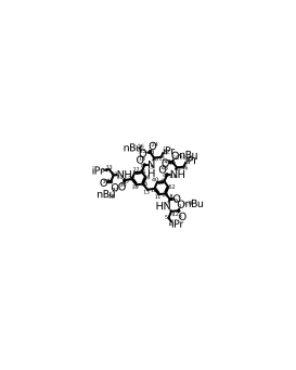 CCCCOC(=O)C(CC(C)C)NC(=O)c1cc(Cc2cc(C(=O)NC(CC(C)C)C(=O)OCCCC)cc(C(=O)NC(CC(C)C)C(=O)OCCCC)c2)cc(C(=O)NC(CC(C)C)C(=O)OCCCC)c1